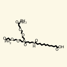 O=C(O)CCCCCCCCCCC(=O)NCCCC(=O)N(CCOCCOCCC(=O)P)CCOCCOCCC(=O)PP